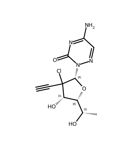 C#CC1(Cl)[C@@H](O)[C@@H]([C@H](C)O)O[C@H]1n1ncc(N)nc1=O